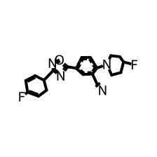 N#Cc1cc(-c2nc(C3C=CC(F)=CC3)no2)ccc1N1CCC(F)CC1